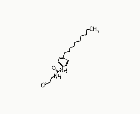 CCCCCCCCCCc1ccc(NC(=O)NCCCl)cc1